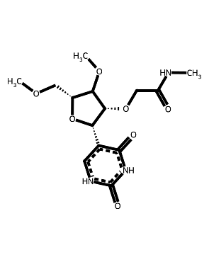 CNC(=O)CO[C@H]1C(OC)[C@@H](COC)O[C@H]1c1c[nH]c(=O)[nH]c1=O